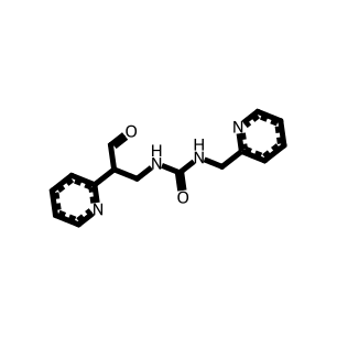 O=CC(CNC(=O)NCc1ccccn1)c1ccccn1